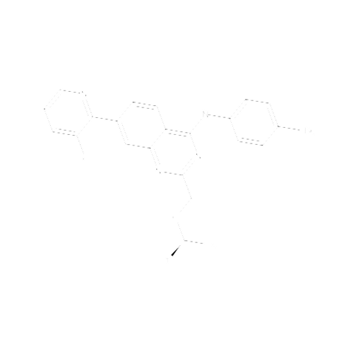 CC(C)[C@@H](OCc1nc(Nc2ccc(C(C)(C)C)cc2)c2ccc(-c3ncccc3C(F)(F)F)cc2n1)C(=O)O